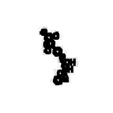 COC(=O)C(=Cc1ccc(OC)cc1OC)c1ccc(OCC(O)CNC(C)Oc2ccccc2OC)cc1